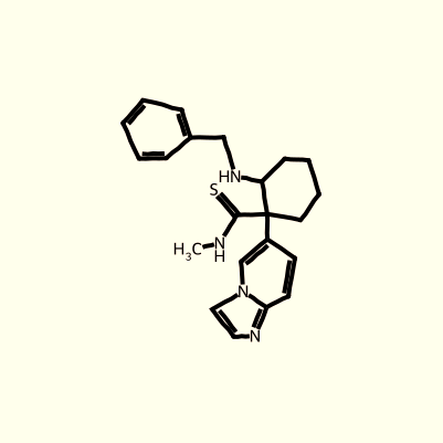 CNC(=S)C1(c2ccc3nccn3c2)CCCCC1NCc1ccccc1